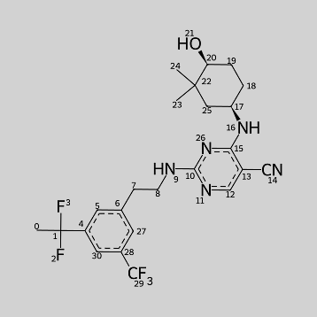 CC(F)(F)c1cc(CCNc2ncc(C#N)c(N[C@@H]3CC[C@H](O)C(C)(C)C3)n2)cc(C(F)(F)F)c1